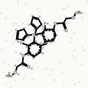 CCCCOCC(=O)Oc1ccc(F)[c]([Ti]([C]2=CC=CC2)([C]2=CC=CC2)[c]2c(F)ccc(OC(=O)COCCCC)c2F)c1F